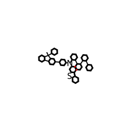 CC1(c2ccccc2)c2ccccc2-c2ccc(-c3ccc(N(c4ccc5c(c4)sc4ccccc45)c4ccccc4-c4ccccc4-c4ccccc4-c4ccccc4)cc3)cc21